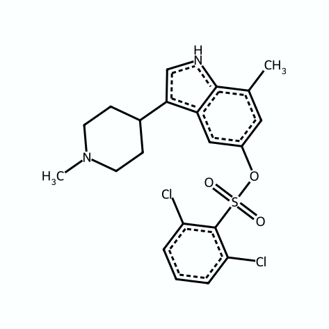 Cc1cc(OS(=O)(=O)c2c(Cl)cccc2Cl)cc2c(C3CCN(C)CC3)c[nH]c12